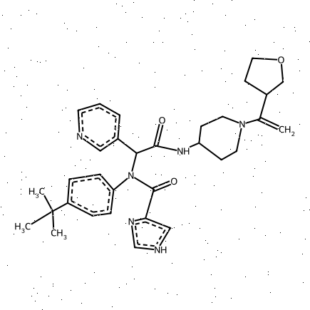 C=C(C1CCOC1)N1CCC(NC(=O)C(c2cccnc2)N(C(=O)c2c[nH]cn2)c2ccc(C(C)(C)C)cc2)CC1